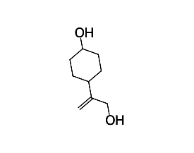 C=C(CO)C1CCC(O)CC1